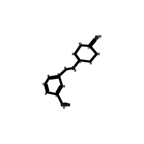 COc1cccc(COC2CCC(=O)CC2)c1